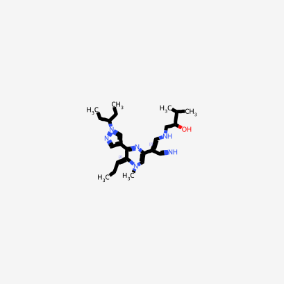 CC/C=C1/C(c2cnn(C(CC)CC)c2)=NC(/C(C=N)=C/NCC(O)C(C)C)=CN1C